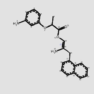 CC(Oc1cccc(N)c1)C(=O)O/C=C(\N)Cc1cccc2ccccc12